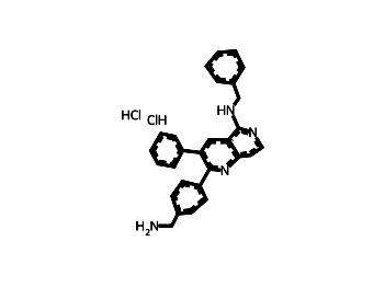 Cl.Cl.NCc1ccc(-c2nc3ccnc(NCc4ccccc4)c3cc2-c2ccccc2)cc1